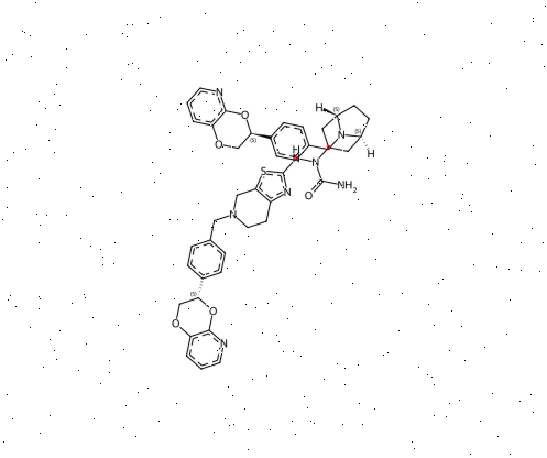 NC(=O)N(Nc1nc2c(s1)CN(Cc1ccc([C@H]3COc4cccnc4O3)cc1)CC2)C1C[C@@H]2CC[C@@H](C1)N2Cc1ccc([C@H]2COc3cccnc3O2)cc1